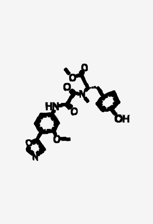 COC(=O)[C@H](Cc1ccc(O)cc1)N(C)C(=O)C(=O)Nc1ccc(-c2cnco2)c(OC)c1